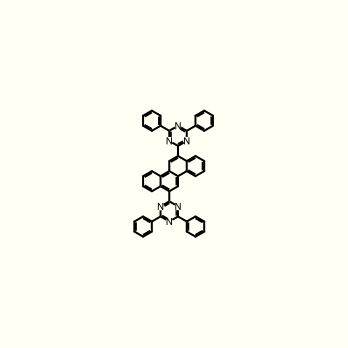 c1ccc(-c2nc(-c3ccccc3)nc(-c3cc4c5ccccc5c(-c5nc(-c6ccccc6)nc(-c6ccccc6)n5)cc4c4ccccc34)n2)cc1